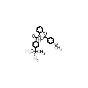 COc1ccc(C(=O)Oc2ccccc2NC(=O)c2ccc(C(C)(C)C)cc2)cc1